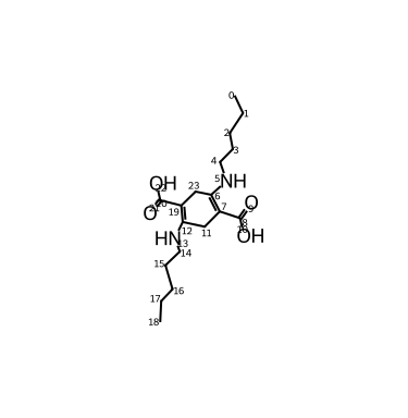 CCCCCNC1=C(C(=O)O)CC(NCCCCC)=C(C(=O)O)C1